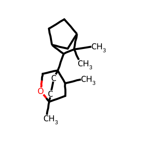 CC1CC2(C)CCC1(C1C3CCC(C3)C1(C)C)CO2